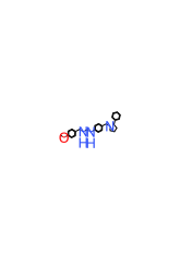 COc1ccc(CNCNc2ccc(CN3CCCC3c3ccccc3)cc2)cc1